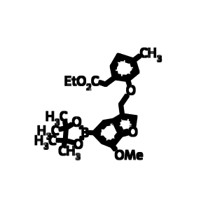 CCOC(=O)Cc1ccc(C)cc1OCc1coc2c(OC)cc(B3OC(C)(C)C(C)(C)O3)cc12